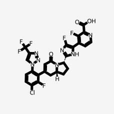 O=C(O)c1nccc(-c2[nH]c([C@@H]3CC[C@@H]4CC(c5c(-n6cc(C(F)(F)F)nn6)ccc(Cl)c5F)=CC(=O)N43)nc2F)c1F